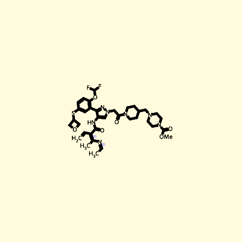 C=C/C(C(=O)Nc1cn(CC(=O)N2CCC(CN3CCN(C(=O)OC)CC3)CC2)nc1-c1cc(SC2COC2)ccc1OC(F)F)=C(C)/N=C\C